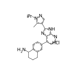 Cc1c(-c2nc3c(-c4ccc5c(c4)CCCC5N)ccnc3[nH]2)cnn1C(C)C.Cl